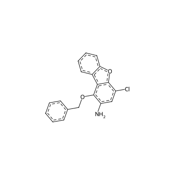 Nc1cc(Cl)c2oc3ccccc3c2c1OCc1ccccc1